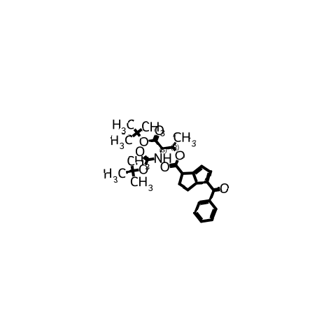 C[C@@H](OC(=O)C1CCC2C(C(=O)c3ccccc3)=CC=C12)[C@H](NC(=O)OC(C)(C)C)C(=O)OC(C)(C)C